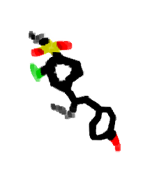 CS(=O)(=O)c1ccc(C(CC2CCC(=O)CC2)C(=O)O)cc1Cl